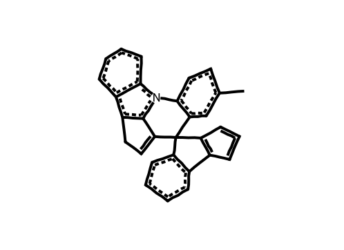 Cc1ccc2c(c1)C1(C3=CCc4c3n-2c2ccccc42)C2=C(C=C=C2)c2ccccc21